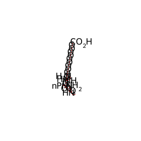 CCCN(CCC/N=C(/NCCOCCOCCOCCOCCOCCOCCOCCOCCOCCOCCC(=O)O)Nc1cccc(N)c1)C(=O)C1=Cc2ccc(C(=O)Nc3ccccc3)cc2N=C(N)C1